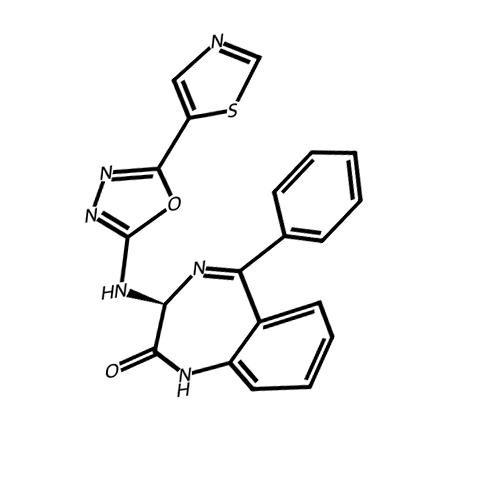 O=C1Nc2ccccc2C(c2ccccc2)=N[C@@H]1Nc1nnc(-c2cncs2)o1